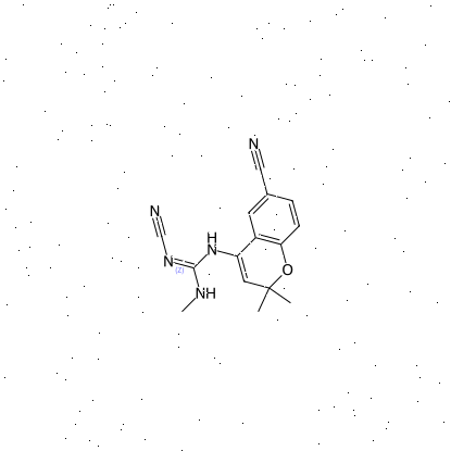 CN/C(=N/C#N)NC1=CC(C)(C)Oc2ccc(C#N)cc21